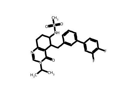 CC(C)n1cnc2c(c1=O)C(Cc1cccc(-c3ccc(F)c(F)c3)c1)C(NS(C)(=O)=O)CC2